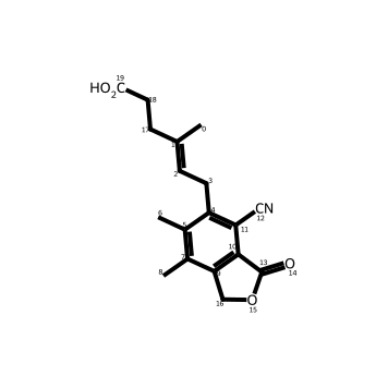 C/C(=C\Cc1c(C)c(C)c2c(c1C#N)C(=O)OC2)CCC(=O)O